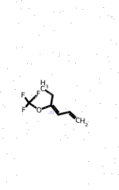 C=C/C=C(\CC)OC(F)(F)F